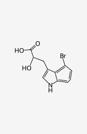 O=C(O)C(O)Cc1c[nH]c2cccc(Br)c12